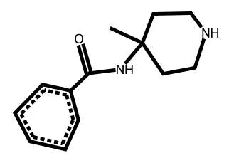 CC1(NC(=O)c2ccccc2)CCNCC1